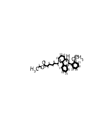 CCOC(=O)CCCCCN1CCCC(NCc2ccccc2OC)C1c1ccccc1